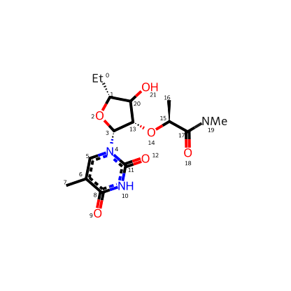 CC[C@H]1O[C@@H](n2cc(C)c(=O)[nH]c2=O)[C@@H](O[C@@H](C)C(=O)NC)C1O